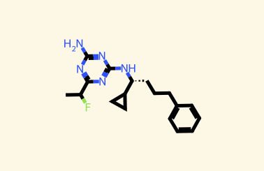 CC(F)c1nc(N)nc(N[C@H](CCCc2ccccc2)C2CC2)n1